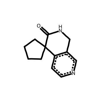 O=C1NCc2cnccc2C12CCCC2